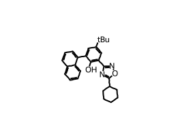 CC(C)(C)c1cc(-c2noc(C3CCCCC3)n2)c(O)c(-c2cccc3ccccc23)c1